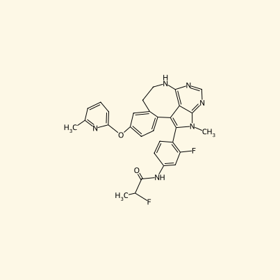 Cc1cccc(Oc2ccc3c(c2)CCNc2ncnc4c2c-3c(-c2ccc(NC(=O)C(C)F)cc2F)n4C)n1